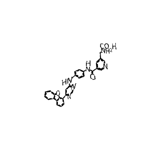 O=C(O)NCc1cncc(C(=O)Nc2ccc(Nc3cc(-c4cccc5c4oc4ccccc45)ncn3)cc2)c1